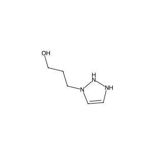 OCCCN1C=CNN1